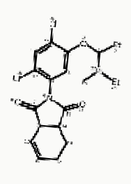 CCC(Oc1cc(N2C(=O)C3C=CCCC3C2=O)c(Cl)cc1Cl)P(C)CC